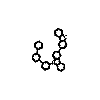 c1ccc(-c2cccc(-c3cccc(-n4c5ccccc5c5cc(-c6ccc7oc8ccccc8c7c6)ccc54)c3)c2)cc1